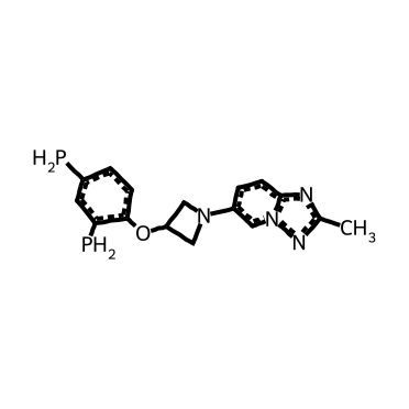 Cc1nc2ccc(N3CC(Oc4ccc(P)cc4P)C3)cn2n1